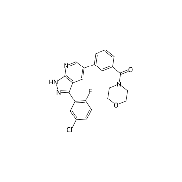 O=C(c1cccc(-c2cnc3[nH]nc(-c4cc(Cl)ccc4F)c3c2)c1)N1CCOCC1